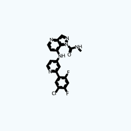 CNC(=O)n1ncc2nccc(Nc3ccnc(-c4cc(Cl)c(F)cc4F)c3)c21